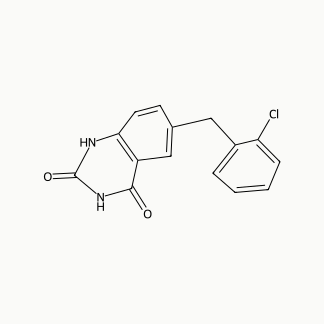 O=c1[nH]c(=O)c2cc(Cc3ccccc3Cl)ccc2[nH]1